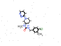 Cc1cc(CNC(=O)N(C)[C@@H]2CCCN(c3cccnn3)C2)ccc1Cl